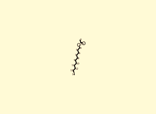 CC(=O)OCCCCCCCCCCI